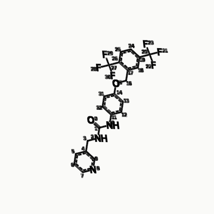 O=C(NCc1cccnc1)Nc1ccc(OCc2cc(C(F)(F)F)ccc2C(F)(F)F)cc1